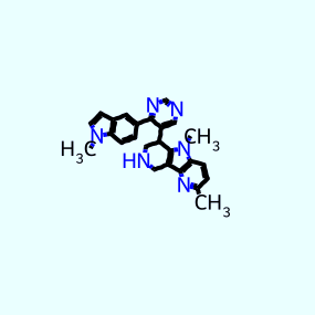 Cc1ccc2c(n1)c1c(n2C)C(c2cncnc2-c2ccc3c(ccn3C)c2)CNC1